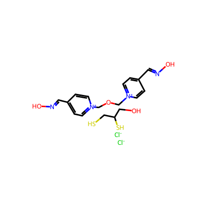 O/N=C/c1cc[n+](COC[n+]2ccc(/C=N/O)cc2)cc1.OCC(S)CS.[Cl-].[Cl-]